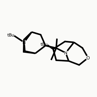 CC(C)(C)C1CC2COCC(C1)N2C(C)(C)C1CC2CCC1CN2C(C)(C)C